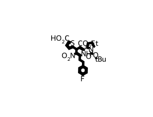 CCOC(=O)C1=C([C@@H]2CCCN2C(=O)OC(C)(C)C)NC(CCc2ccc(F)cc2)=C([N+](=O)[O-])C1c1ccc(C(=O)O)s1